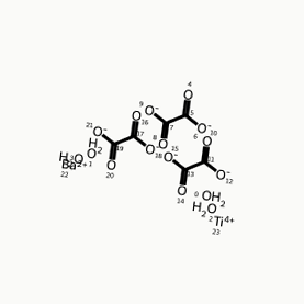 O.O.O.O.O=C([O-])C(=O)[O-].O=C([O-])C(=O)[O-].O=C([O-])C(=O)[O-].[Ba+2].[Ti+4]